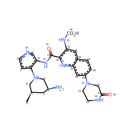 C[C@@H]1C[C@H](N)CN(c2ccncc2NC(=O)c2nc3cc(N4CCNC(=O)C4)ccc3cc2NC(=O)O)C1